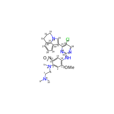 COc1cc(N(C)CCN(C)C)c([N+](=O)[O-])cc1Nc1ncc(Cl)c(-c2cn3c4c(cccc24)CCC3)n1